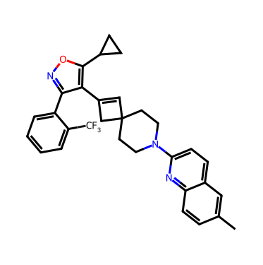 Cc1ccc2nc(N3CCC4(C=C(c5c(-c6ccccc6C(F)(F)F)noc5C5CC5)C4)CC3)ccc2c1